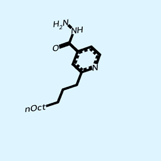 CCCCCCCCCCCc1cc(C(=O)NN)ccn1